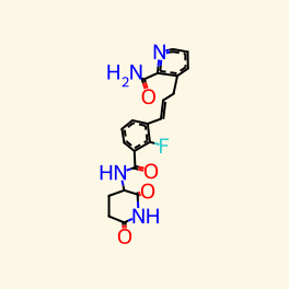 NC(=O)c1ncccc1CC=Cc1cccc(C(=O)NC2CCC(=O)NC2=O)c1F